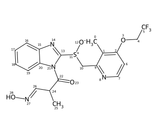 Cc1c(OCC(F)(F)F)ccnc1C[S+]([O-])c1nc2ccccc2n1C(=O)C(C)C=NO